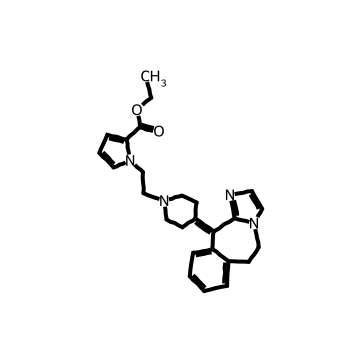 CCOC(=O)c1cccn1CCN1CCC(=C2c3ccccc3CCn3ccnc32)CC1